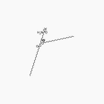 CCCCCCCCCCCCCCCCCCCCCC(=O)OCC(CNCCCCC(N)C(=O)OC(C)(C)C)OC(=O)CCCCCCCCCCCCCCCCCCCCC